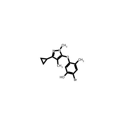 Cc1cc(Br)c(O)cc1Oc1c(C)c(C2CC2)nn1C